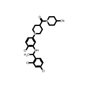 CC(Nc1cc(N2CCC(C(=O)N3CCC(C#N)CC3)CC2)ccc1Cl)c1ccc(Cl)cc1Cl